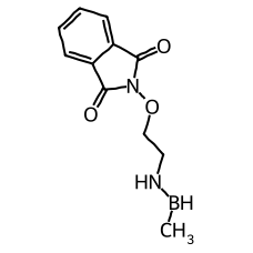 CBNCCON1C(=O)c2ccccc2C1=O